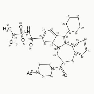 CC(=O)N1CCN(C(=O)C2Cc3ccccc3-c3c(C4CCCCC4)c4ccc(C(=O)NS(=O)(=O)N(C)C)cc4n3C2)CC1